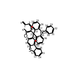 C=C/C=C\C1=C(C)Oc2cc3sc4ccccc4c3cc2C12c1ccccc1N(c1ccccc1)c1ccccc12